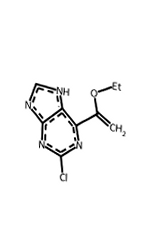 C=C(OCC)c1nc(Cl)nc2nc[nH]c12